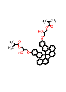 C=C(C)C(=O)OCC(O)COc1ccc2cc(C3(c4ccc5cc(OCC(O)COC(=O)C(=C)C)ccc5c4)c4c(ccc5ccccc45)-c4ccc5ccccc5c43)ccc2c1